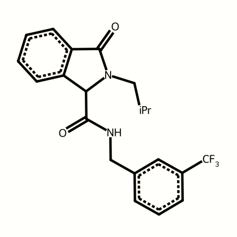 CC(C)CN1C(=O)c2ccccc2C1C(=O)NCc1cccc(C(F)(F)F)c1